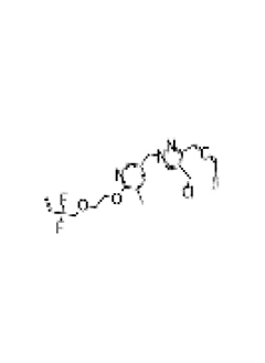 C#CC=C=Cc1nn(Cc2cnc(OCCOCC(F)(F)C=C)c(C)c2)cc1CCl